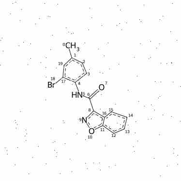 Cc1ccc(NC(=O)c2noc3ccccc23)c(Br)c1